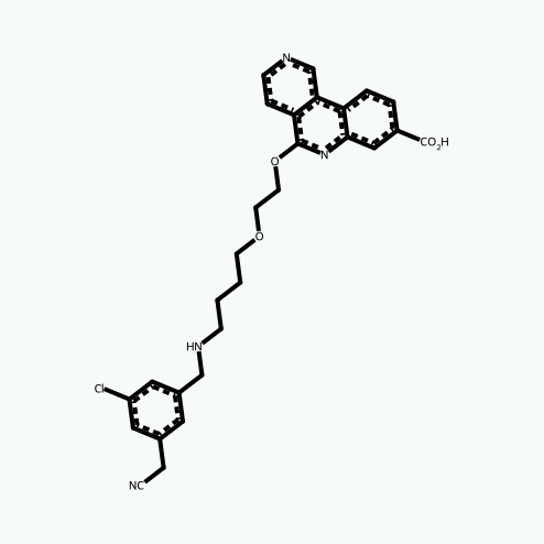 N#CCc1cc(Cl)cc(CNCCCCOCCOc2nc3cc(C(=O)O)ccc3c3cnccc23)c1